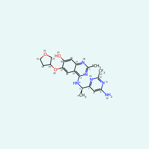 Cc1nc(N[C@H](C)c2cc(N)nc(C(F)(F)F)n2)c2cc(OC3CCOC3)c(O)cc2n1